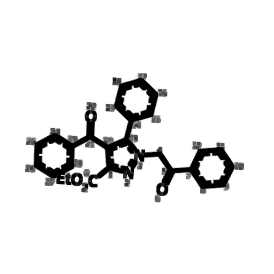 CCOC(=O)c1nn(CC(=O)c2ccccc2)c(-c2ccccc2)c1C(=O)c1ccccc1